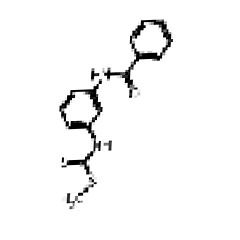 CSC(=S)Nc1cccc(NC(=O)c2ccccc2)c1